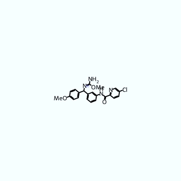 CO/C(N)=N\C(c1ccc(OC)cc1)c1cccc(NC(=O)c2ccc(Cl)cn2)c1